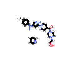 O=C(C1CCN(c2cc(Nc3ccc(C(F)(F)F)cc3)c[nH]2)CC1)N1CCN(CCO)CC1.c1ccncc1